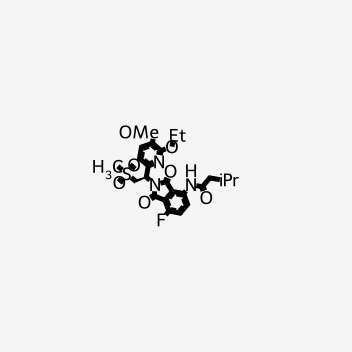 CCOc1nc([C@H](CS(C)(=O)=O)N2C(=O)c3c(F)ccc(NC(=O)CC(C)C)c3C2=O)ccc1OC